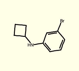 Brc1cccc(NC2CCC2)c1